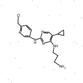 NCCCNc1nc(Nc2ccc(CCl)nc2)ncc1C1CC1